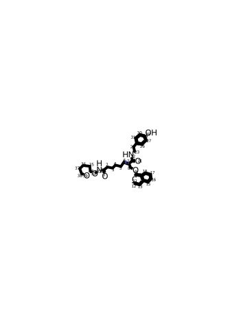 O=C(CCCC/C=C(\COc1cccc2ccccc12)C(=O)NCCc1ccc(O)cc1)NOC1CCCCO1